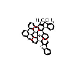 CC1(C)c2ccccc2-c2c(-c3ccccc3N(c3ccccc3-c3cccc4c3sc3ccccc34)c3ccccc3-c3cccc4cccc(-c5ccccc5)c34)cccc21